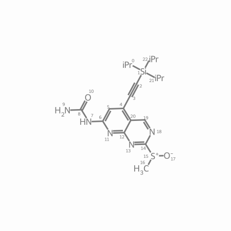 CC(C)[Si](C#Cc1cc(NC(N)=O)nc2nc([S+](C)[O-])ncc12)(C(C)C)C(C)C